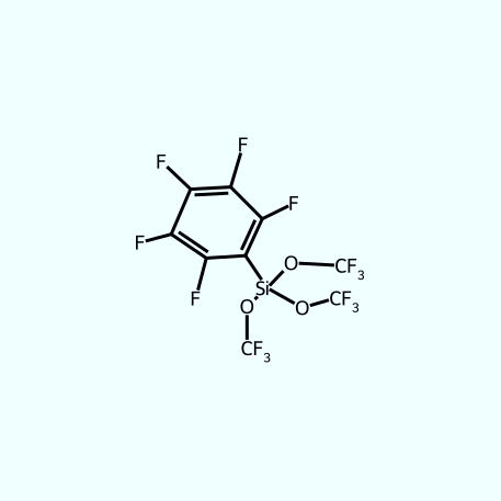 Fc1c(F)c(F)c([Si](OC(F)(F)F)(OC(F)(F)F)OC(F)(F)F)c(F)c1F